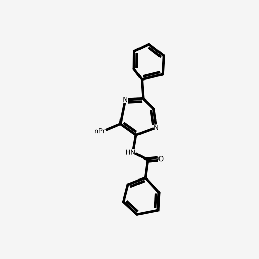 CCCc1nc(-c2ccccc2)cnc1NC(=O)c1ccccc1